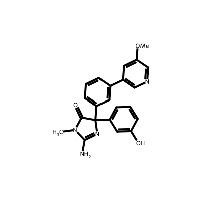 COc1cncc(-c2cccc(C3(c4cccc(O)c4)N=C(N)N(C)C3=O)c2)c1